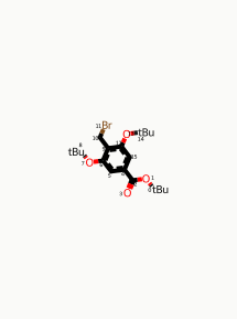 CC(C)(C)OC(=O)c1cc(OC(C)(C)C)c(CBr)c(OC(C)(C)C)c1